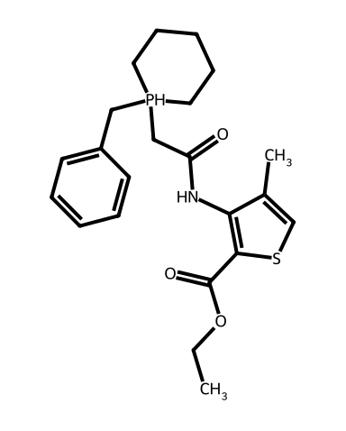 CCOC(=O)c1scc(C)c1NC(=O)C[PH]1(Cc2ccccc2)CCCCC1